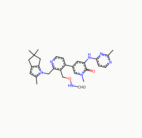 Cc1nccc(Nc2cc(-c3ccnc(Cn4c(C)cc5c4CC(C)(C)C5)c3CONC=O)cn(C)c2=O)n1